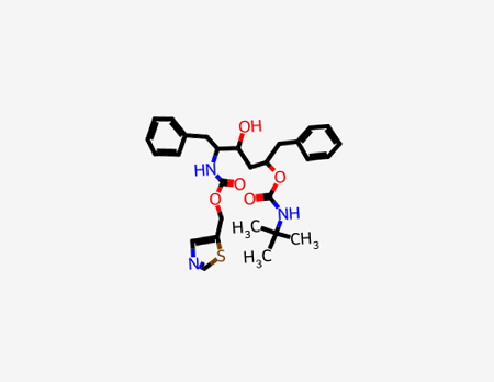 CC(C)(C)NC(=O)OC(Cc1ccccc1)CC(O)C(Cc1ccccc1)NC(=O)OCc1cncs1